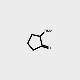 COC1CCCC1=O